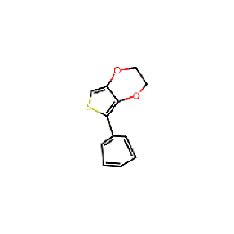 c1ccc(-c2scc3c2OCCO3)cc1